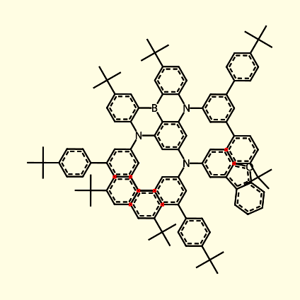 CC(C)(C)c1ccc(-c2cc(-c3ccc(C(C)(C)C)cc3)cc(N(c3cc4c5c(c3)N(c3cc(-c6ccc(C(C)(C)C)cc6)cc(-c6ccc(C(C)(C)C)cc6)c3)c3ccc(C(C)(C)C)cc3B5c3cc(C(C)(C)C)ccc3N4c3cc(-c4ccc(C(C)(C)C)cc4)cc(-c4ccc(C(C)(C)C)cc4)c3)c3ccc4oc5ccccc5c4c3)c2)cc1